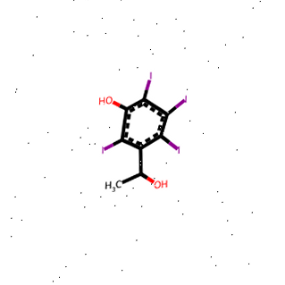 CC(O)c1c(I)c(O)c(I)c(I)c1I